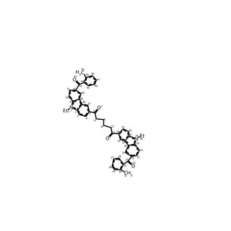 CCn1c2ccc(C(=O)CCCCC(=O)c3ccc4c(c3)c3cc(C(=O)c5ccccc5C)ccc3n4CC)cc2c2cc(C(=O)c3ccccc3C)ccc21